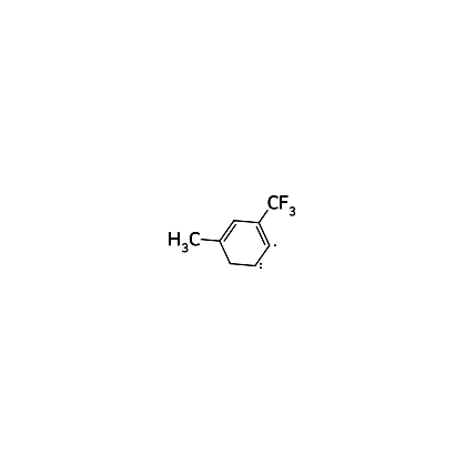 CC1=CC(C(F)(F)F)=[C][C]C1